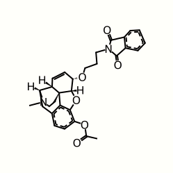 CC(=O)Oc1ccc2c3c1O[C@H]1[C@@H](OCCCN4C(=O)c5ccccc5C4=O)C=C[C@H]4[C@@H](C2)N(C)CC[C@@]341